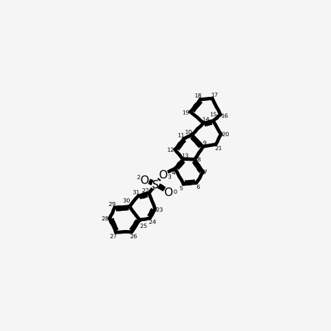 O=S(=O)(Oc1cccc2c3c(ccc12)C1=C(CCC=C1)CC3)c1ccc2ccccc2c1